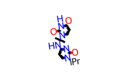 CC(C)n1ccc(NC(C)(C)n2ccc(=O)[nH]c2=O)nc1=O